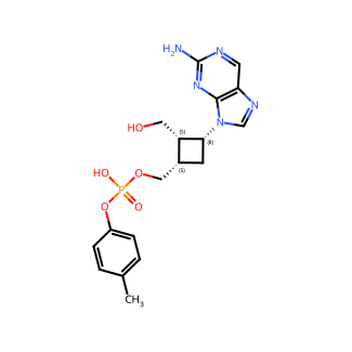 Cc1ccc(OP(=O)(O)OC[C@H]2C[C@@H](n3cnc4cnc(N)nc43)[C@H]2CO)cc1